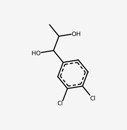 CC(O)C(O)c1ccc(Cl)c(Cl)c1